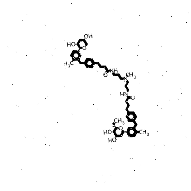 CS[C@H]1O[C@@H](c2ccc(C)c(Cc3ccc(CCCC(=O)NCCCN(C)CCCNC(=O)CCCc4ccc(Cc5cc([C@@H]6OC[C@@H](O)C[C@H]6O)ccc5C)cc4)cc3)c2)C[C@@H](O)[C@@H]1O